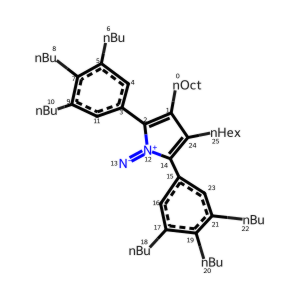 CCCCCCCCC1=C(c2cc(CCCC)c(CCCC)c(CCCC)c2)[N+](=[N-])C(c2cc(CCCC)c(CCCC)c(CCCC)c2)=C1CCCCCC